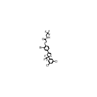 O=C(CSc1ccc(C2=CSC(c3cc(Cl)cc(Cl)c3)(C(F)(F)F)C2)cc1Br)NCC(F)(F)F